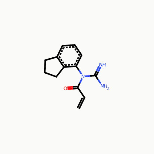 C=CC(=O)N(C(=N)N)c1cccc2c1CCC2